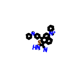 CNc1sc(C(=C2C=CC(=[N+](C)c3ccccc3)C=C2)c2ccc(N(C)c3ccccc3)cc2)c(-c2ccccc2)c1C#N